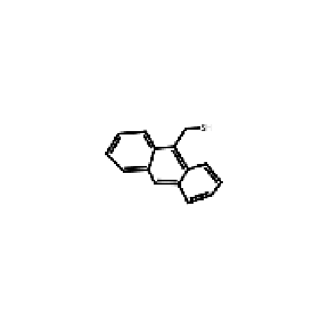 SCc1c2ccccc2cc2ccccc12